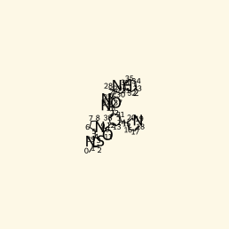 Cc1csc(C2CCCN2C(=O)c2cc(-c3cccnc3)cc(-c3nnc(C(C)(N)Cc4ccccc4)o3)c2)n1